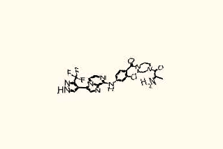 CC(N)C(=O)N1CCN(C(=O)c2ccc(Nc3nccn4c(-c5c[nH]nc5C(F)(F)F)cnc34)cc2Cl)CC1